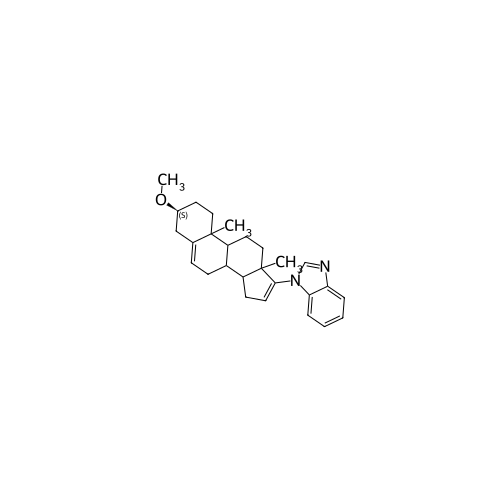 CO[C@H]1CCC2(C)C(=CCC3C2CCC2(C)C(n4cnc5ccccc54)=CCC32)C1